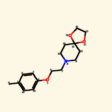 Cc1ccc(OCCN2CCC3(CC2)OCCO3)cc1